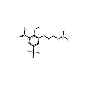 COc1c(OCCO[SiH](C)C)cc(C(C)(C)C)cc1[N+](=O)[O-]